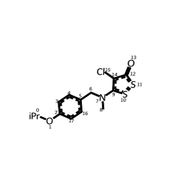 CC(C)Oc1ccc(CN(C)c2ssc(=O)c2Cl)cc1